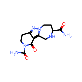 NC(=O)C1CCn2nc3c(c2CN1)C(=O)N(C(N)=O)CC3